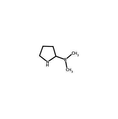 CB(C)C1CCCN1